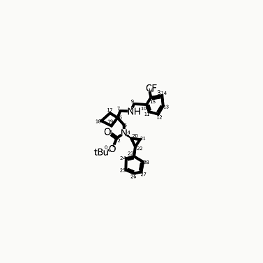 CC(C)(C)OC(=O)N(CC1(CNCc2ccccc2C(F)(F)F)CCC1)[C@H]1CC1c1ccccc1